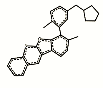 Cc1ccc2c(oc3nc4ccccc4cc32)c1-c1cc(CC2CCCC2)cc[n+]1C